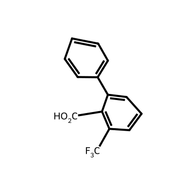 O=C(O)c1c(-c2ccccc2)cccc1C(F)(F)F